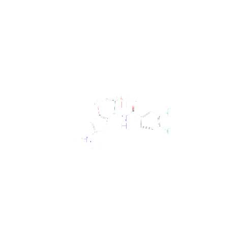 O=C(NC1c2sc([N+](=O)[O-])cc2OCC1O)c1ccc(F)c(F)c1